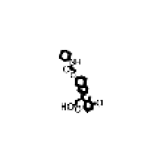 Cc1c(Cl)cccc1C(CC(=O)O)c1ccc2ccc(OCC(=O)NC3CCCCC3)cc2c1